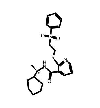 C[C@@H](NC(=O)c1cccnc1SCCS(=O)(=O)c1ccccc1)C1CCCCC1